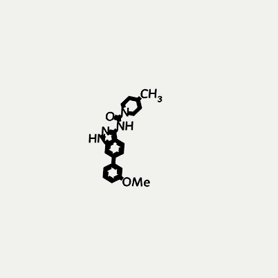 COc1cccc(-c2ccc3c(NC(=O)N4CCC(C)CC4)n[nH]c3c2)c1